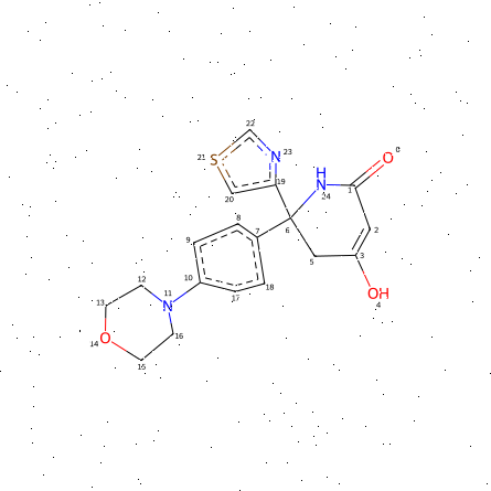 O=C1C=C(O)CC(c2ccc(N3CCOCC3)cc2)(c2cscn2)N1